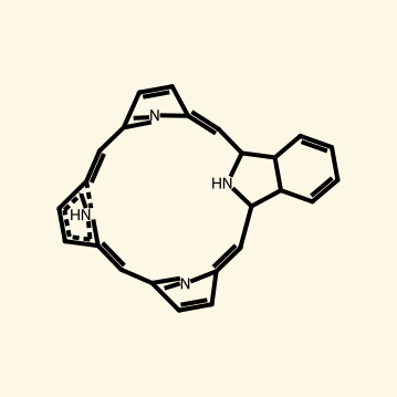 C1=CC2C3C=C4C=CC(=N4)C=c4ccc([nH]4)=CC4=NC(=CC(N3)C2C=C1)C=C4